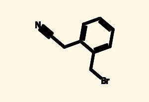 N#CCc1ccccc1CBr